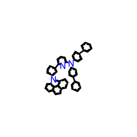 c1ccc(-c2ccc(N(c3ccc(-c4ccccc4)cc3)c3cccc(-c4cccc(-n5c6cccc7ccc8cccc5c8c76)c4)n3)cc2)cc1